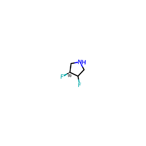 FC1CNC[C@@H]1F